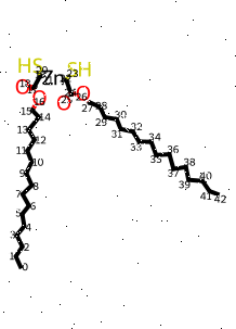 CCCCCCCCCCCCCCCCOC(=O)[CH](S)[Zn][CH](S)C(=O)OCCCCCCCCCCCCCCCC